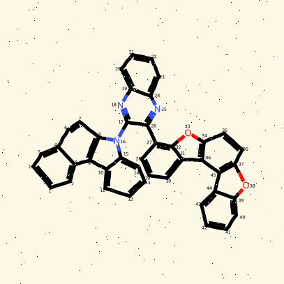 c1ccc2c(c1)ccc1c2c2ccccc2n1-c1nc2ccccc2nc1-c1cccc2c1oc1ccc3oc4ccccc4c3c12